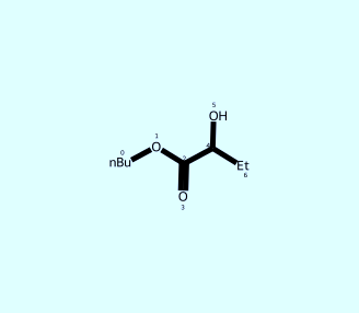 CCCCOC(=O)C(O)CC